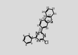 Clc1nc(-c2ccccc2)nc(-c2ccc3c4c(sc3c2)CCC=C4)n1